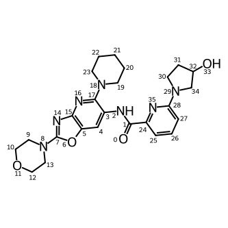 O=C(Nc1cc2oc(N3CCOCC3)nc2nc1N1CCCCC1)c1cccc(N2CCC(O)C2)n1